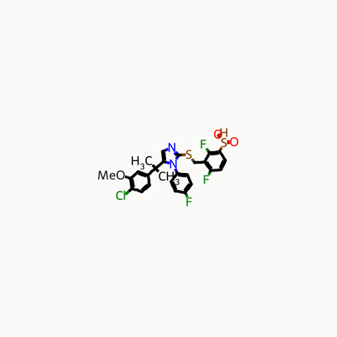 COc1cc(C(C)(C)c2cnc(SCc3c(F)ccc([SH](=O)=O)c3F)n2-c2ccc(F)cc2)ccc1Cl